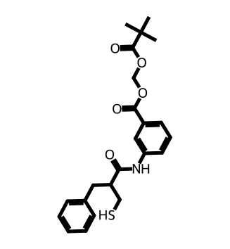 CC(C)(C)C(=O)OCOC(=O)c1cccc(NC(=O)C(CS)Cc2ccccc2)c1